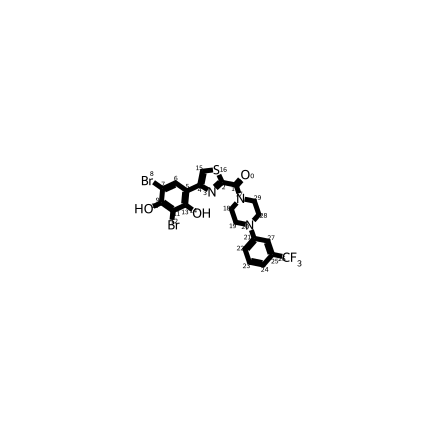 O=C(c1nc(-c2cc(Br)c(O)c(Br)c2O)cs1)N1CCN(c2cccc(C(F)(F)F)c2)CC1